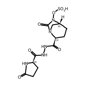 O=C1CC[C@H](C(=O)NNC(=O)[C@@H]2CC[C@@H]3CN2C(=O)N3OS(=O)(=O)O)N1